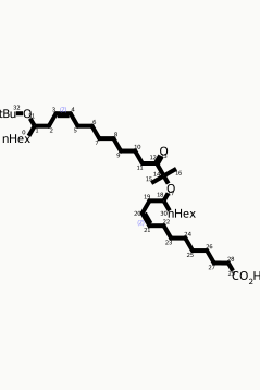 CCCCCCC(C/C=C\CCCCCCCC(=O)C(C)(C)OC(C/C=C\CCCCCCCC(=O)O)CCCCCC)OC(C)(C)C